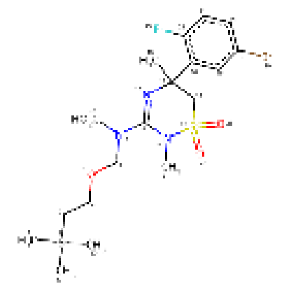 CN1C(N(COCC[Si](C)(C)C)C(=O)O)=NC(C)(c2cc(Br)ccc2F)CS1(=O)=O